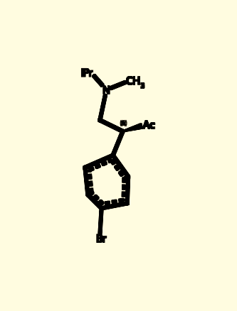 CC(=O)[C@H](CN(C)C(C)C)c1ccc(Br)cc1